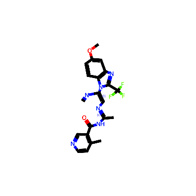 C=N/C(=C\N=C(/C)NC(=O)c1cnccc1C)n1c(C(F)(F)F)nc2cc(OC)ccc21